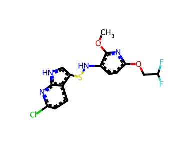 COc1nc(OCC(F)F)ccc1NSc1c[nH]c2nc(Cl)ccc12